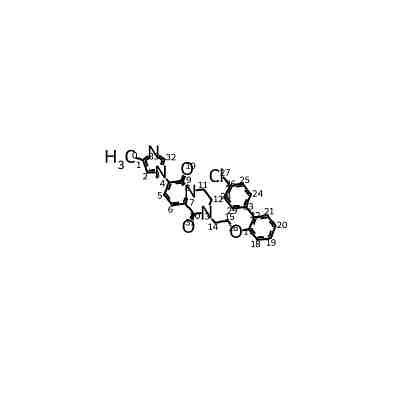 Cc1cn(-c2ccc3n(c2=O)CCN(CCOc2ccccc2-c2ccc(Cl)cc2)C3=O)cn1